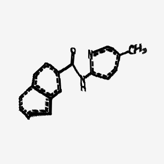 Cc1ccc(NC(=O)c2ccc3ccccc3c2)nc1